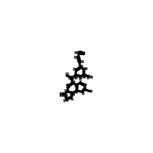 Cc1ccc2c(c1)N1C=NNC1N=C2N(C)c1cc(F)cc(C#CC(C)(C)C)c1